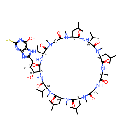 CC[C@@H]1NC(=O)[C@H]([C@H](O)[C@H](C)Cc2nc3nc(S)nc(O)c3[nH]2)NC(=O)[C@H](C(C)C)N(C)C(=O)[C@H](CC(C)C)N(C)C(=O)[C@H](CC(C)C)N(C)C(=O)[C@@H](C)NC(=O)[C@H](C)NC(=O)[C@H](CC(C)C)N(C)C(=O)[C@H](C(C)C)NC(=O)[C@H](CC(C)C)N(C)C(=O)CN(C)C1=O